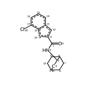 O=C(NC1CN2CCC1CC2)c1cc2cccc(Cl)c2s1